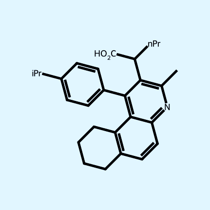 CCCC(C(=O)O)c1c(C)nc2ccc3c(c2c1-c1ccc(C(C)C)cc1)CCCC3